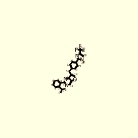 CC(C)c1ccccc1-c1ncc2occ(Cc3ccc(-c4nc(C(F)(F)F)cn4C)cc3)c2n1